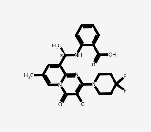 Cc1cc([C@@H](C)Nc2ccccc2C(=O)O)c2nc(N3CCC(F)(F)CC3)c(Cl)c(=O)n2c1